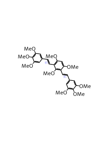 COc1cc(OC)c(/C=C/c2cc(OC)c(OC)c(OC)c2)c(OC)c1/C=C/c1cc(OC)c(OC)c(OC)c1